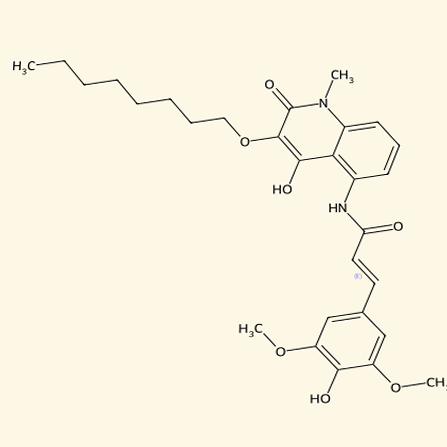 CCCCCCCCOc1c(O)c2c(NC(=O)/C=C/c3cc(OC)c(O)c(OC)c3)cccc2n(C)c1=O